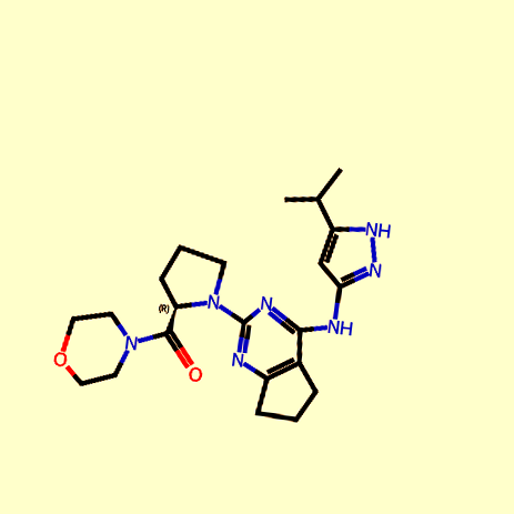 CC(C)c1cc(Nc2nc(N3CCC[C@@H]3C(=O)N3CCOCC3)nc3c2CCC3)n[nH]1